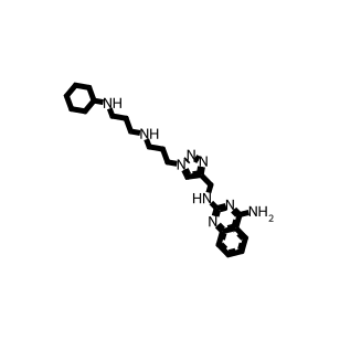 Nc1nc(NCc2cn(CCCNCCCNC3CCCCC3)nn2)nc2ccccc12